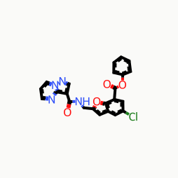 O=C(Oc1ccccc1)c1cc(Cl)cc2cc(CNC(=O)c3cnn4cccnc34)oc12